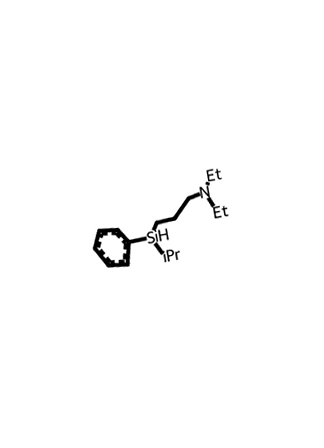 CCN(CC)CCC[SiH](c1ccccc1)C(C)C